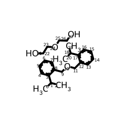 CC(C)c1ccccc1COCc1ccccc1C(C)C.OCCOCCO